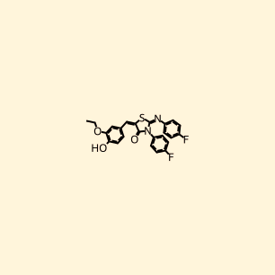 CCOc1cc(/C=C2/S/C(=N/c3ccc(F)cc3)N(c3ccc(F)cc3)C2=O)ccc1O